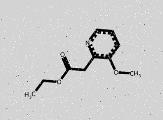 CCOC(=O)Cc1ncccc1OC